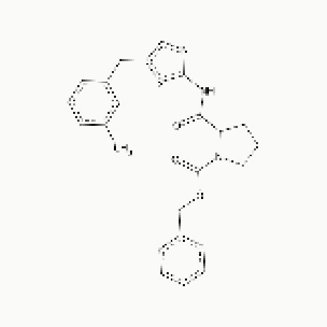 Cc1cccc(Cc2cnc(NC(=O)C3CCCN3C(=O)OCc3ccccc3)s2)c1